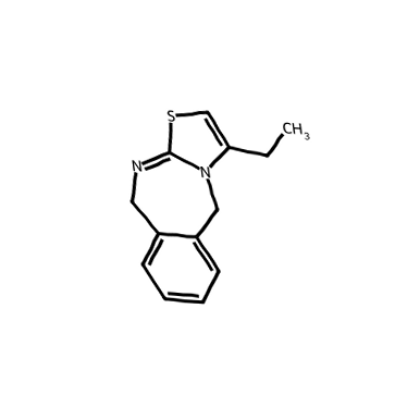 CCC1=CSC2=NCc3ccccc3CN12